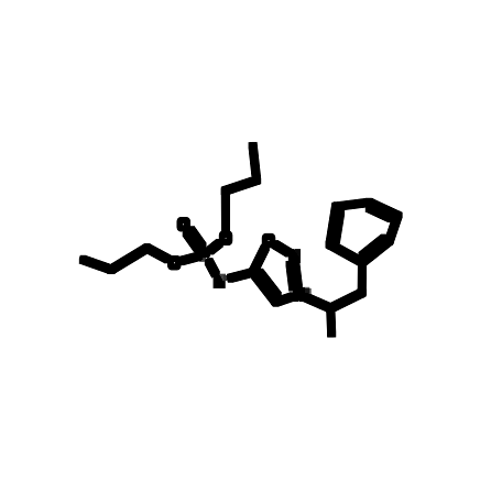 CCCOP(=O)([N-]c1c[n+](C(C)Cc2ccccc2)no1)OCCC